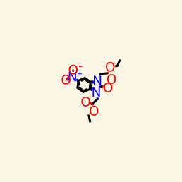 CCOC(=O)Cn1c(=O)n(CC(=O)OCC)c2cc([N+](=O)[O-])ccc21